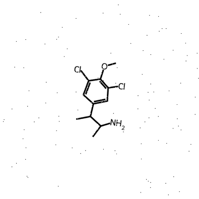 COc1c(Cl)cc(C(C)C(C)N)cc1Cl